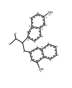 CC(C)C(Cc1cc(O)c2ccccc2c1)c1ccc2cc(O)ccc2c1